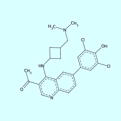 CC(=O)c1cnc2ccc(-c3cc(Cl)c(O)c(Cl)c3)cc2c1NC1CC(CN(C)C)C1